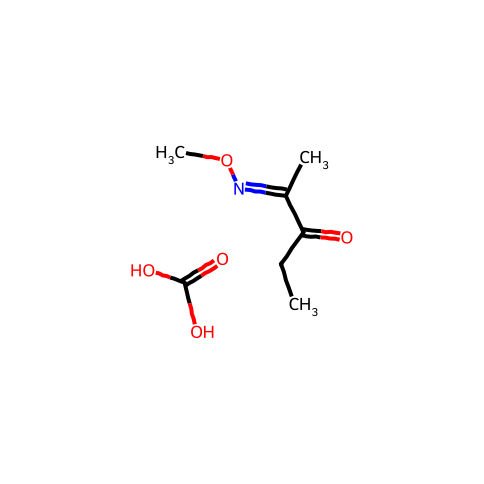 CCC(=O)C(C)=NOC.O=C(O)O